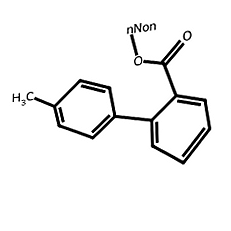 CCCCCCCCCOC(=O)c1ccccc1-c1ccc(C)cc1